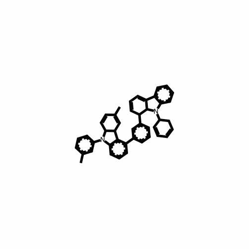 CC1=CC2c3c(-c4cccc(C5C=CC=C6c7ccccc7N(C7C=CC=CC7)C65)c4)cccc3N(c3cccc(C)c3)C2C=C1